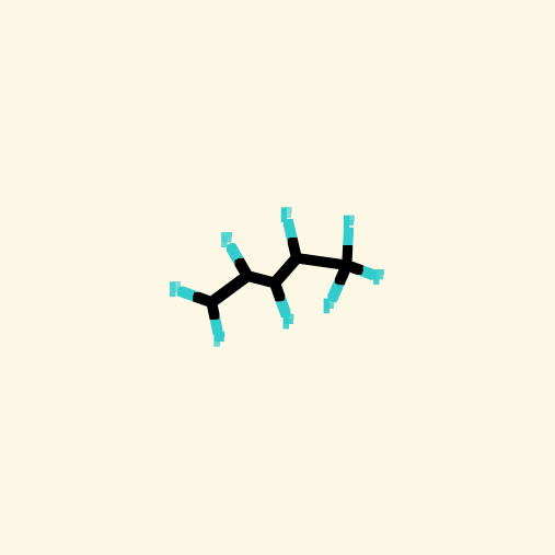 F[C](F)C(F)C(F)C(F)C(F)(F)F